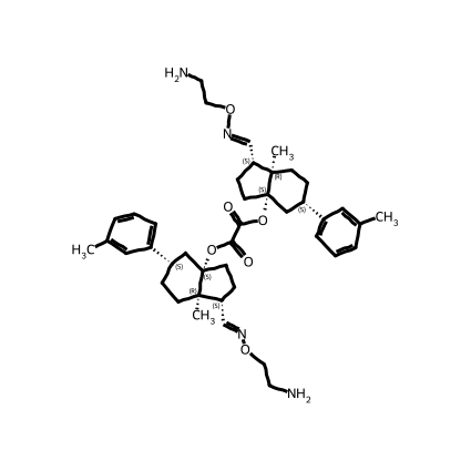 Cc1cccc([C@H]2CC[C@]3(C)[C@@H](C=NOCCN)CC[C@]3(OC(=O)C(=O)O[C@]34CC[C@H](C=NOCCN)[C@@]3(C)CC[C@H](c3cccc(C)c3)C4)C2)c1